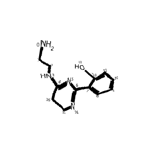 NCCNC1=NC(c2ccccc2O)=NCC1